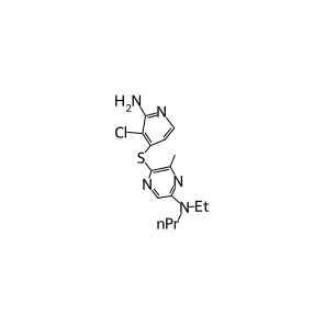 CCCN(CC)c1cnc(Sc2ccnc(N)c2Cl)c(C)n1